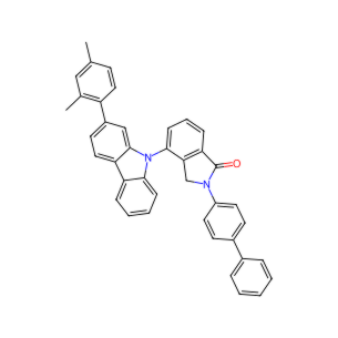 Cc1ccc(-c2ccc3c4ccccc4n(-c4cccc5c4CN(c4ccc(-c6ccccc6)cc4)C5=O)c3c2)c(C)c1